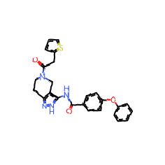 O=C(Nc1[nH]nc2c1CN(C(=O)Cc1cccs1)CC2)c1ccc(Oc2ccccc2)cc1